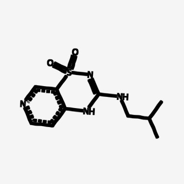 CC(C)CNC1=NS(=O)(=O)c2cnccc2N1